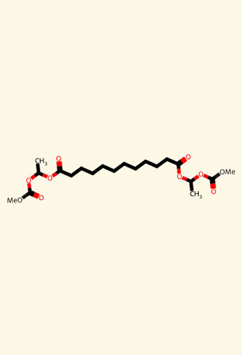 COC(=O)OC(C)OC(=O)CCCCCCCCCCC(=O)OC(C)OC(=O)OC